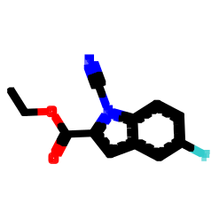 CCOC(=O)c1cc2cc(F)ccc2n1C#N